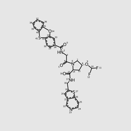 O=C(NCC(=O)N1C[C@H](OC(F)F)CC1C(=O)NCc1cc2cnccc2s1)c1ccc2c(c1)Oc1ccccc1S2